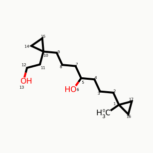 CC1(CCCC(O)CCCC2(CCO)CC2)CC1